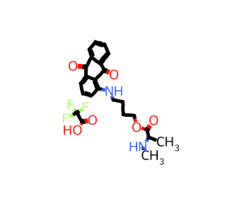 CNC(C)C(=O)OCCCCNc1cccc2c1C(=O)c1ccccc1C2=O.O=C(O)C(F)(F)F